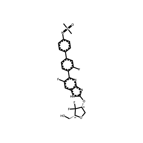 CS(C)(=O)=Nc1ccc(-c2ccc(-c3nc4nc(O[C@@H]5CO[C@H](CO)C5(F)F)[nH]c4cc3F)c(F)c2)cc1